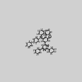 c1ccc(-c2ccc(N(c3ccccc3)c3cc(-c4cc(-c5ccccc5)nc(-c5ccccc5)n4)cc4oc5ccccc5c34)cc2)cc1